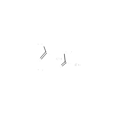 CC[C@@H](C)C(=O)C(=O)[O-].CC[C@@H](C)C(=O)C(=O)[O-].[Ca+2]